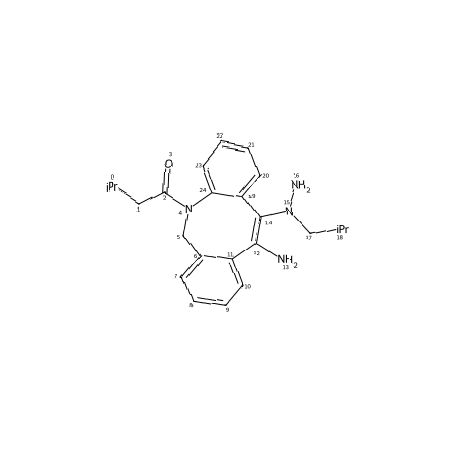 CC(C)CC(=O)N1Cc2ccccc2/C(N)=C(/N(N)CC(C)C)c2ccccc21